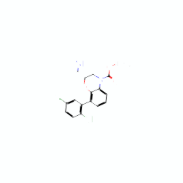 CC(C)(C)OC(=O)N1C[C@@H](CN)Oc2c(-c3cc(Cl)ccc3Cl)cccc21